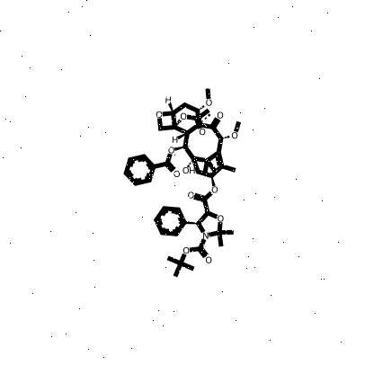 CO[C@H]1C(=O)[C@]2(C)[C@@H](OC)C[C@H]3OC[C@@]3(OC(C)=O)[C@H]2[C@H](OC(=O)c2ccccc2)[C@]2(O)C[C@H](OC(=O)C3OC(C)(C)N(C(=O)OC(C)(C)C)[C@H]3c3ccccc3)C(C)=C1C2(C)C